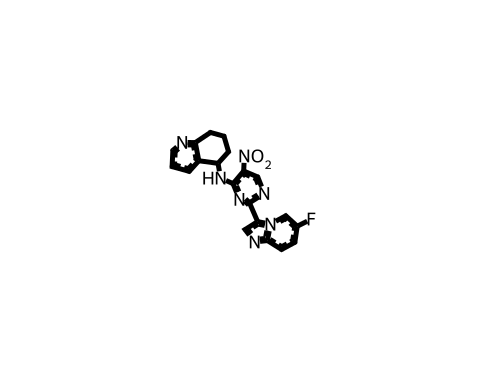 O=[N+]([O-])c1cnc(-c2cnc3ccc(F)cn23)nc1NC1CCCc2ncccc21